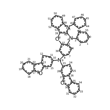 c1ccc(N2c3ccc(N(c4ccc5c(c4)oc4ccccc45)c4ccc5c(c4)oc4ccccc45)cc3Oc3c2n(-c2ccccc2)c2ccccc32)cc1